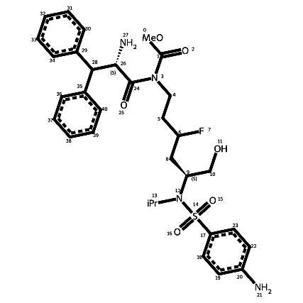 COC(=O)N(CCC(F)C[C@@H](CO)N(C(C)C)S(=O)(=O)c1ccc(N)cc1)C(=O)[C@@H](N)C(c1ccccc1)c1ccccc1